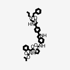 CCCN(Cc1ncc(-c2ccc(-c3cc4cc(NC(=O)[C@@H]5CCCN5C(=O)[C@H](NC(=O)OC(C)C)c5ccccc5)ccc4[nH]3)cc2)[nH]1)C(=O)Cc1ccccc1